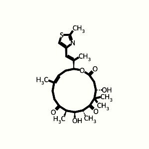 C/C1=C/C[C@@H](/C(C)=C/c2csc(C)n2)OC(=O)C[C@H](O)C(C)(C)C(=O)[C@H](C)[C@@H](O)[C@@H](C)C(=O)CC1